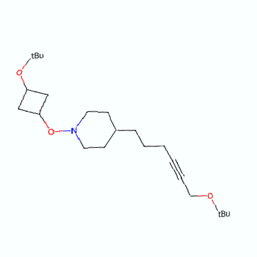 CC(C)(C)OCC#CCCCC1CCN(OC2CC(OC(C)(C)C)C2)CC1